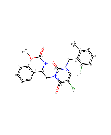 Cc1c(Br)c(=O)n(CC(NC(=O)OC(C)(C)C)c2ccccc2)c(=O)n1Cc1c(F)cccc1C(F)(F)F